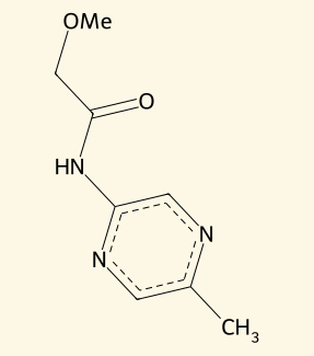 COCC(=O)Nc1cnc(C)cn1